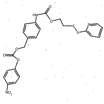 O=C(Nc1ccc(COC(=O)Oc2ccc([N+](=O)[O-])cc2)cc1)OCCSSc1ccccn1